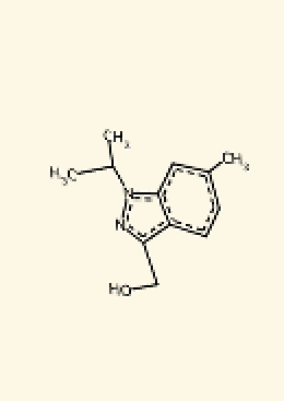 Cc1ccc2c(CO)nn(C(C)C)c2c1